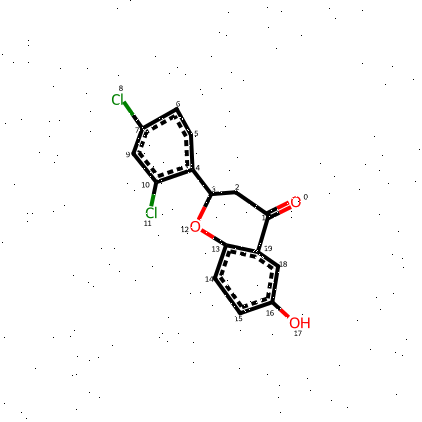 O=C1CC(c2ccc(Cl)cc2Cl)Oc2ccc(O)cc21